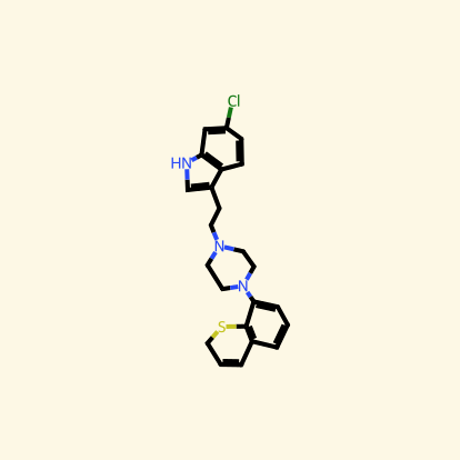 Clc1ccc2c(CCN3CCN(c4cccc5c4SCC=C5)CC3)c[nH]c2c1